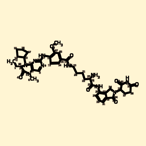 CC[C@@H]1C(=O)N(C)c2cnc(Nc3ccc(C(=O)NCCCC[C@@H](N)C(=O)Nc4cccc5c4CN(C4CCC(=O)NC4=O)C5=O)cc3OC)nc2N1C1CCCC1